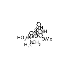 COc1cc(Nc2nc3ccccc3nc2NS(=O)(=O)c2cccc(N(CCN(C)C)C(=O)O)c2)cc(OC)c1